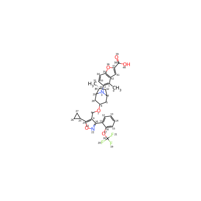 Cc1c(N2C3CC(OCc4c(-c5ccccc5OC(F)(F)F)noc4C4CC4)CC2[C@H](C)C3)ccc2oc(C(=O)O)cc12